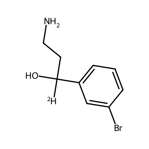 [2H]C(O)(CCN)c1cccc(Br)c1